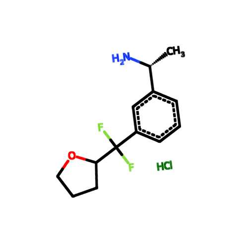 C[C@@H](N)c1cccc(C(F)(F)C2CCCO2)c1.Cl